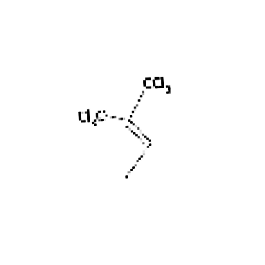 CC=C(C(Cl)(Cl)Cl)C(Cl)(Cl)Cl